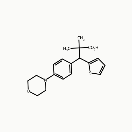 CC(C)(C(=O)O)C(c1ccc(N2CCOCC2)cc1)c1cccs1